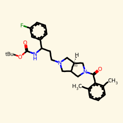 Cc1cccc(C)c1C(=O)N1CC2CN(CCC(NC(=O)OC(C)(C)C)c3cccc(F)c3)C[C@H]2C1